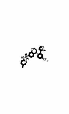 Cc1ccc(NS(=O)(=O)c2ccc3c(c2)OCC[C@H]3c2ccc(C(F)(F)F)cc2-c2ccnn2C)nc1